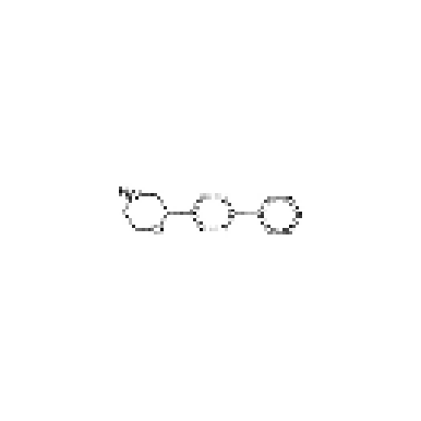 [c]1ccccc1-c1ccc(C2CNCCO2)cc1